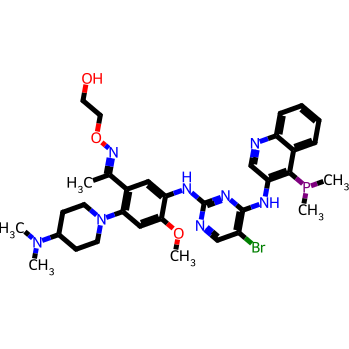 COc1cc(N2CCC(N(C)C)CC2)c(/C(C)=N/OCCO)cc1Nc1ncc(Br)c(Nc2cnc3ccccc3c2P(C)C)n1